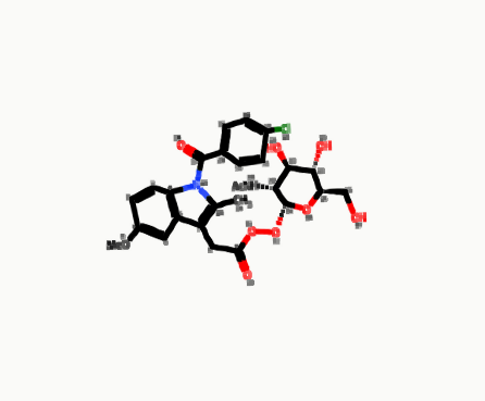 COc1ccc2c(c1)c(CC(=O)OO[C@H]1O[C@H](CO)[C@@H](O)[C@H](O)[C@H]1NC(C)=O)c(C)n2C(=O)c1ccc(Cl)cc1